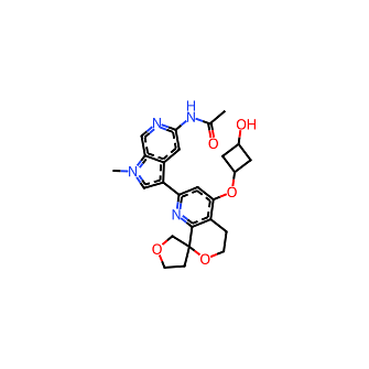 CC(=O)Nc1cc2c(-c3cc(OC4CC(O)C4)c4c(n3)C3(CCOC3)OCC4)cn(C)c2cn1